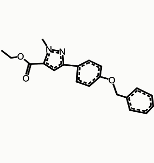 CCOC(=O)c1cc(-c2ccc(OCc3ccccc3)cc2)nn1C